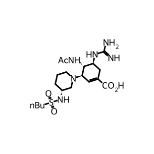 CCCCS(=O)(=O)N[C@@H]1CCCN([C@@H]2C=C(C(=O)O)C[C@H](NC(=N)N)[C@H]2NC(C)=O)C1